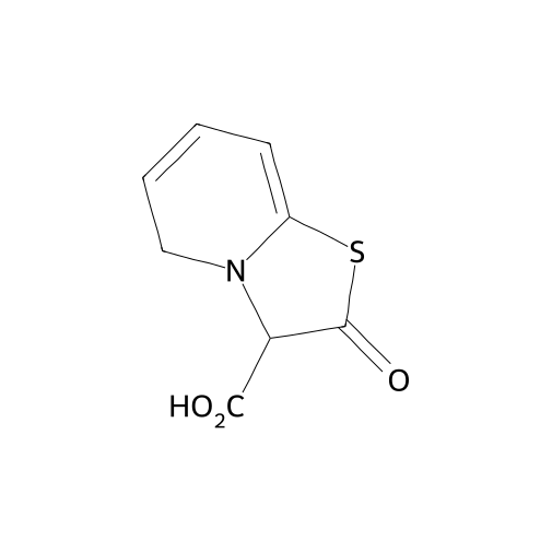 O=C(O)C1C(=O)SC2=CC=CCN21